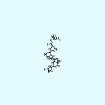 CN(C)CCNc1cc(F)cc(-c2cncc3[nH]c(-c4n[nH]c5ccc(-c6cn[nH]c6)nc45)cc23)c1